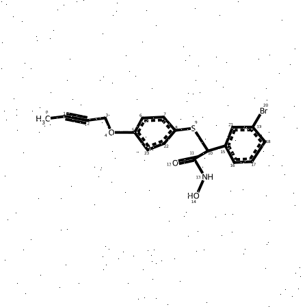 CC#CCOc1ccc(SC(C(=O)NO)c2cccc(Br)c2)cc1